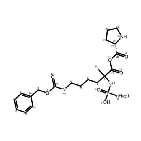 CCCCCCCP(=O)(O)OC(I)(CCCCNC(=O)OCc1ccccc1)C(=O)OC(=O)[C@@H]1CCCN1